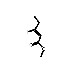 CC/C(I)=C/C(=O)OC